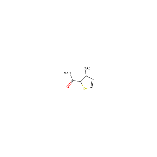 COC(=O)C1SC=CC1OC(C)=O